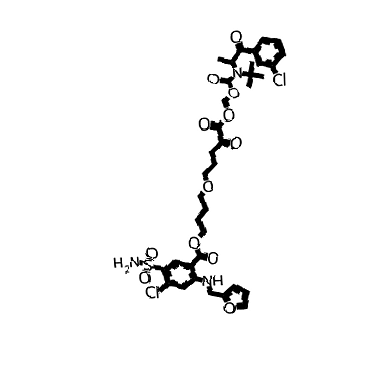 CC(C(=O)c1cccc(Cl)c1)N(C(=O)OCOC(=O)C(=O)CCCOCCCCOC(=O)c1cc(S(N)(=O)=O)c(Cl)cc1NCc1ccco1)C(C)(C)C